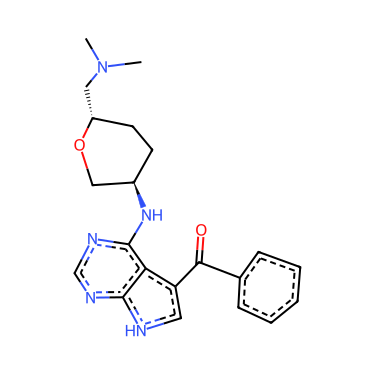 CN(C)C[C@@H]1CC[C@@H](Nc2ncnc3[nH]cc(C(=O)c4ccccc4)c23)CO1